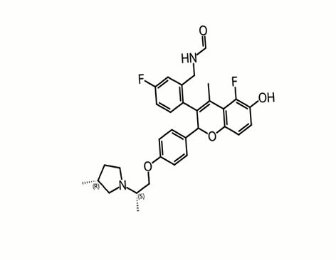 CC1=C(c2ccc(F)cc2CNC=O)C(c2ccc(OC[C@H](C)N3CC[C@@H](C)C3)cc2)Oc2ccc(O)c(F)c21